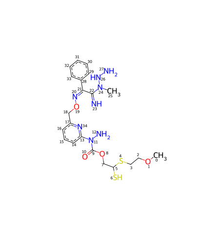 COCCSC(S)COC(=O)N(N)c1cccc(CO/N=C(\C(=N)N(C)NN)c2ccccc2)n1